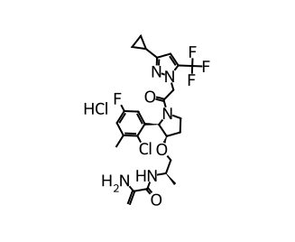 C=C(N)C(=O)N[C@H](C)CO[C@@H]1CCN(C(=O)Cn2nc(C3CC3)cc2C(F)(F)F)[C@@H]1c1cc(F)cc(C)c1Cl.Cl